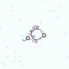 CC1(C)NC(=O)C2(CCCC2)NCCOc2ccccc2/C=C/CNC(=O)[C@H](Cc2cccc(CI)c2)NC1=O